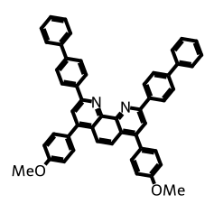 COc1ccc(-c2cc(-c3ccc(-c4ccccc4)cc3)nc3c2ccc2c(-c4ccc(OC)cc4)cc(-c4ccc(-c5ccccc5)cc4)nc23)cc1